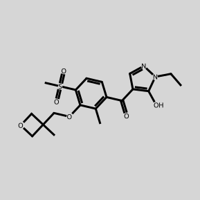 CCn1ncc(C(=O)c2ccc(S(C)(=O)=O)c(OCC3(C)COC3)c2C)c1O